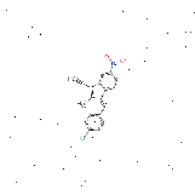 C#CC1=C(C)C(=Cc2ccc(Cl)cc2)c2ccc([N+](=O)[O-])cc21